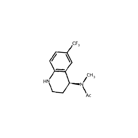 CC(=O)N(C)[C@H]1CCNc2ccc(C(F)(F)F)cc21